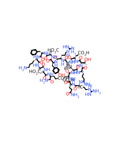 CC[C@H](C)[C@H](NC(=O)[C@H](CCC(=O)O)NC(=O)[C@@H](NC(=O)[C@H](CCCCN)NC(=O)[C@H](CC(C)C)NC(=O)[C@H](CC(=O)O)NC(=O)[C@H](CCC(N)=O)NC(=O)[C@@H](N)CCCNC(=N)N)[C@@H](C)O)C(=O)N[C@@H](CCCNC(=N)N)C(=O)N[C@@H](Cc1ccc(O)cc1)C(=O)N[C@@H](CC(=O)O)C(=O)N[C@@H](Cc1ccccc1)C(=O)N[C@@H](CCCCN)C(=O)N[C@@H](C)C(=O)N[C@@H](CC(=O)O)C(=O)N[C@@H](CCC(=O)O)C(N)=O